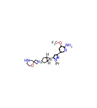 CC(C)n1nc(-c2cnc(N)c(OC(F)(F)F)c2)cc1[C@H]1[C@@H]2C[C@H](N3CC4(CNCCO4)C3)C[C@@H]21